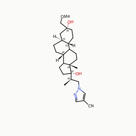 COC[C@@]1(O)CC[C@@H]2C3CC[C@@]4(C)C(CC[C@]4(O)[C@H](C)Cn4cc(C#N)cn4)[C@@H]3CC[C@H]2C1